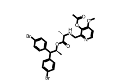 COc1ccnc(CN[C@@H](C)C(=O)O[C@@H](C)C(c2ccc(Br)cc2)c2ccc(Br)cc2)c1OC(C)=O